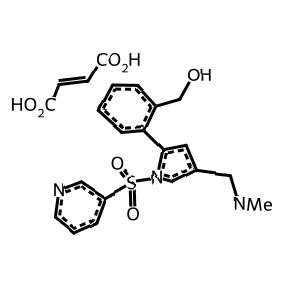 CNCc1cc(-c2ccccc2CO)n(S(=O)(=O)c2cccnc2)c1.O=C(O)C=CC(=O)O